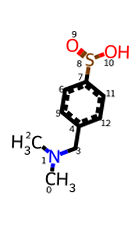 CN(C)Cc1ccc(S(=O)O)cc1